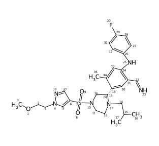 COCCn1cc(S(=O)(=O)N2CCN(CC(C)C)[C@@H](c3cc(C=N)c(Nc4ccc(F)cc4)cc3C)C2)cn1